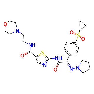 O=C(Nc1ncc(C(=O)NCCN2CCOCC2)s1)/C(=N/N1CCCC1)c1ccc(S(=O)(=O)C2CC2)cc1